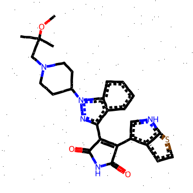 COC(C)(C)CN1CCC(n2nc(C3=C(c4c[nH]c5sccc45)C(=O)NC3=O)c3ccccc32)CC1